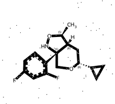 C[C@@H]1ON[C@@]2(c3ccc(F)cc3F)CO[C@@H](C3CC3)C[C@@H]12